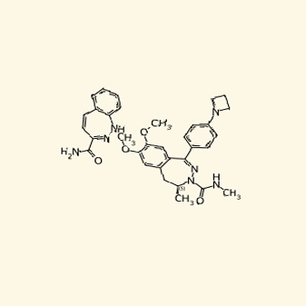 CNC(=O)N1N=C(c2ccc(N3CCC3)cc2)c2cc(OC)c(OC)cc2C[C@@H]1C.NC(=O)C1=NNc2ccccc2C=C1